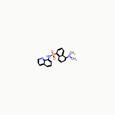 CN(C)c1cccc2c(S(=O)(=O)Nc3cccc4cccnc34)cccc12